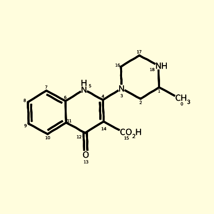 CC1CN(c2[nH]c3ccccc3c(=O)c2C(=O)O)CCN1